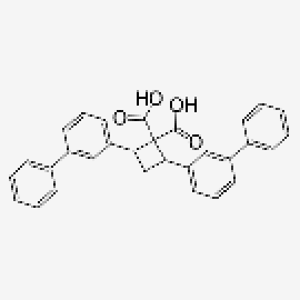 O=C(O)C1(C(=O)O)C(c2cccc(-c3ccccc3)c2)CC1c1cccc(-c2ccccc2)c1